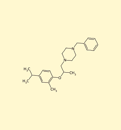 Cc1cc(C(C)C)ccc1OC(C)CN1CCN(Cc2ccccc2)CC1